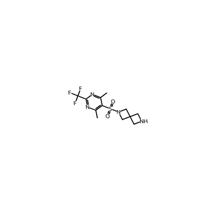 Cc1nc(C(F)(F)F)nc(C)c1S(=O)(=O)N1CC2(CNC2)C1